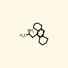 CC(N)Cc1c2c(cc3c1CCCC3)CCCC2